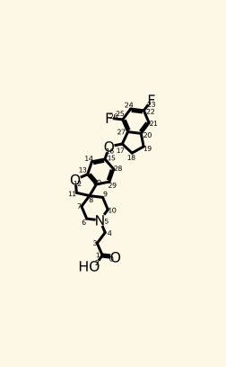 O=C(O)CCN1CCC2(CC1)COc1cc(OC3CCc4cc(F)cc(F)c43)ccc12